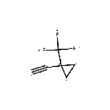 [C]#CC1(C(F)(F)F)CC1